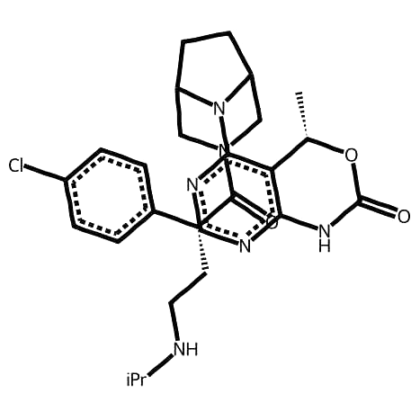 CC(C)NCC[C@@H](C(=O)N1CC2CCC(C1)N2c1ncnc2c1[C@H](C)OC(=O)N2)c1ccc(Cl)cc1